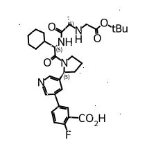 C[C@H](NCC(=O)OC(C)(C)C)C(=O)N[C@H](C(=O)N1CCC[C@H]1c1cncc(-c2ccc(F)c(C(=O)O)c2)c1)C1CCCCC1